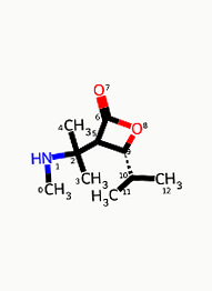 CNC(C)(C)C1C(=O)O[C@@H]1C(C)C